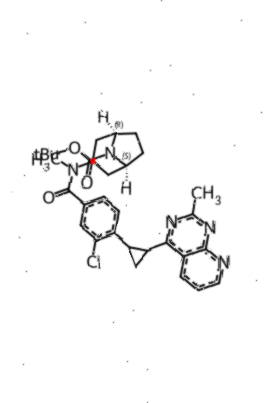 Cc1nc(C2CC2c2ccc(C(=O)N(C)C3C[C@H]4CC[C@@H](C3)N4C(=O)OC(C)(C)C)cc2Cl)c2cccnc2n1